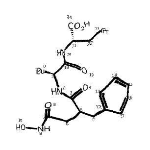 CCC(C)[C@H](NC(=O)C(CC(=O)NO)Cc1ccccc1)C(=O)N[C@@H](CC(C)C)C(=O)O